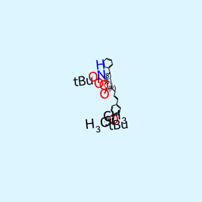 CC(C)(C)OC(=O)N[C@@H](Cc1ccccc1)[C@@H]1C[C@@H](CC=Cc2ccc(O[Si](C)(C)C(C)(C)C)cc2)C(=O)O1